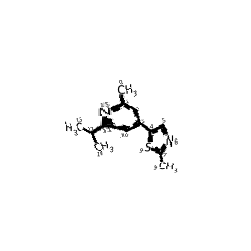 Cc1cc(-c2cnc(C)s2)cc(C(C)C)n1